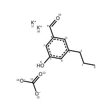 CCCc1cc(O)cc(C=O)c1.O=C([O-])[O-].[K+].[K+]